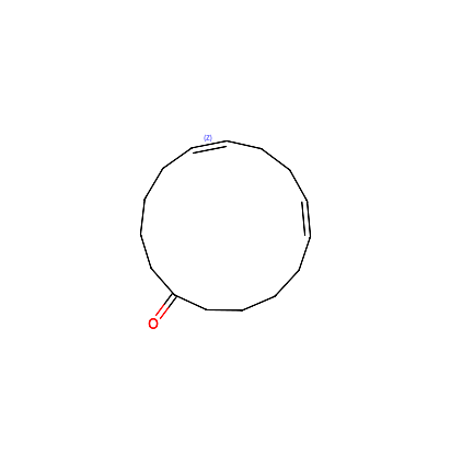 O=C1CCCCC=CCC/C=C\CCCC1